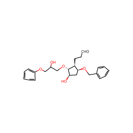 O=CCC[C@@H]1[C@@H](OCC(O)COc2ccccc2)[C@H](O)C[C@@H]1OCc1ccccc1